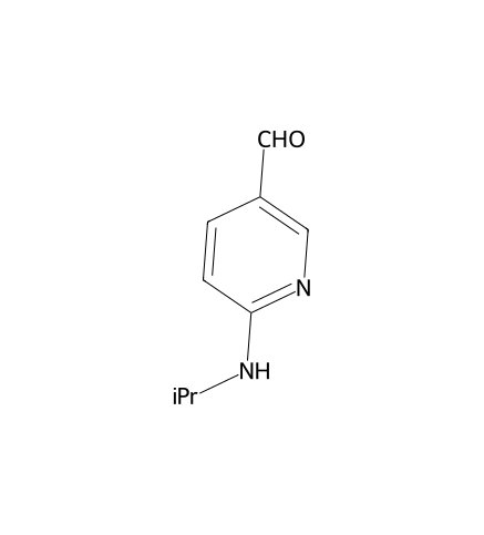 CC(C)Nc1ccc(C=O)cn1